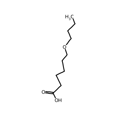 CCCCOCCCCCC(=O)O